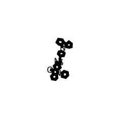 O=c1c2ccccc2n(-c2ccccc2)c2cc3sc(-c4ccc(-n5c6ccccc6c6ccccc65)cc4)nc3cc12